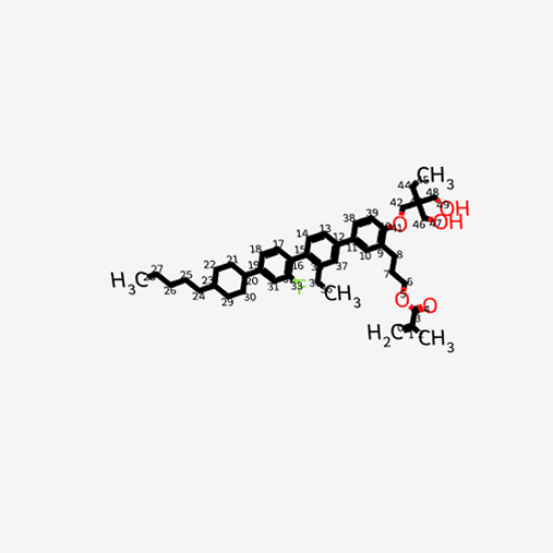 C=C(C)C(=O)OCCCc1cc(-c2ccc(-c3ccc(C4CCC(CCCCC)CC4)cc3F)c(CC)c2)ccc1OCC(CC)(CO)CO